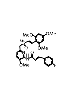 COc1cc(OC)c(C=CS(=O)(=O)Cc2ccc(OC)c(NC(=O)C=Cc3ccc(F)cc3)n2)c(OC)c1